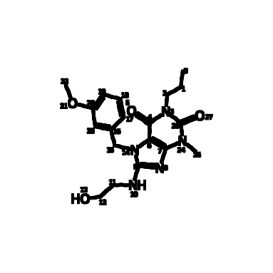 CCCn1c(=O)c2c(nc(NCCO)n2Cc2cccc(OC)c2)n(C)c1=O